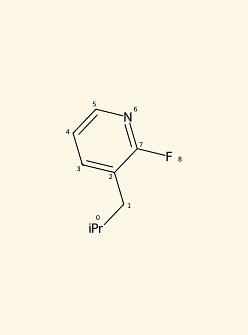 CC(C)Cc1cccnc1F